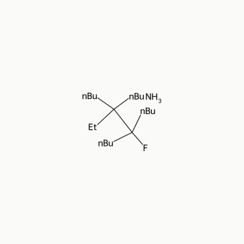 CCCCC(F)(CCCC)C(CC)(CCCC)CCCC.N